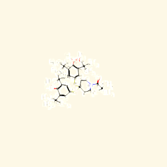 CC(C)(C)C(=O)N1CCC(Sc2cc(C(C)(C)C)c(O)c(C(C)(C)C)c2)(Sc2cc(C(C)(C)C)c(O)c(C(C)(C)C)c2)CC1